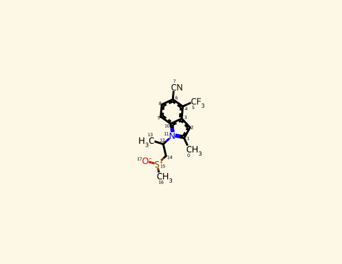 Cc1cc2c(C(F)(F)F)c(C#N)ccc2n1C(C)C[S+](C)[O-]